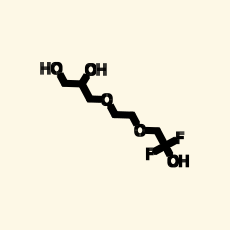 OCC(O)COCCOCC(O)(F)F